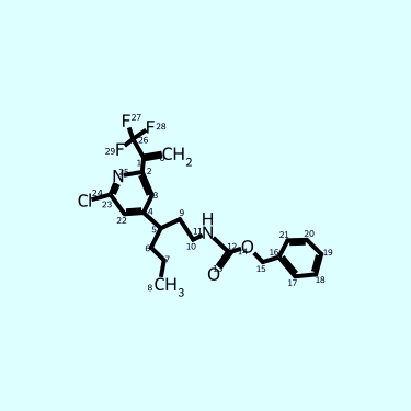 C=C(c1cc(C(CCC)CCNC(=O)OCc2ccccc2)cc(Cl)n1)C(F)(F)F